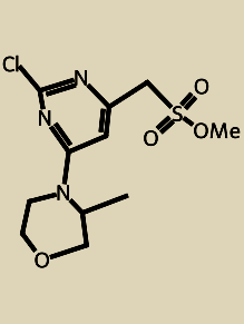 COS(=O)(=O)Cc1cc(N2CCOCC2C)nc(Cl)n1